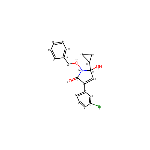 O=C1C(c2cccc(Br)c2)=CC(O)(C2CC2)N1OCc1ccccc1